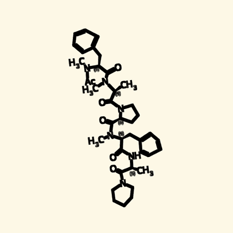 CC(=O)N(C)[C@@H](Cc1ccccc1)C(=O)N(C)[C@@H](C)C(=O)N1CCC[C@H]1C(=O)N(C)[C@@H](Cc1ccccc1)C(=O)N[C@@H](C)C(=O)N1CCCCC1